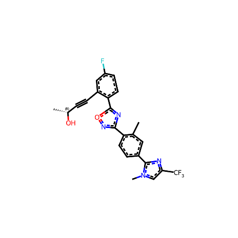 Cc1cc(-c2nc(C(F)(F)F)cn2C)ccc1-c1noc(-c2ccc(F)cc2C#C[C@@H](C)O)n1